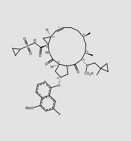 COc1cc(F)cc2c(O[C@@H]3C[C@H]4C(=O)N[C@]5(C(=O)NS(=O)(=O)C6CC6)C[C@H]5/C=C\CC[C@@H](C)C[C@@H](C)[C@H](N(CC5(C)CC5)C(=O)O)C(=O)N4C3)nccc12